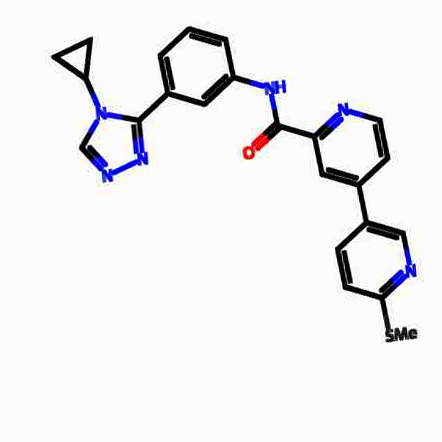 CSc1ccc(-c2ccnc(C(=O)Nc3cccc(-c4nncn4C4CC4)c3)c2)cn1